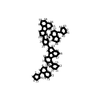 c1ccc(-c2ccc(-n3c4ccccc4c4c5c(ccc43)-c3cc(-c4ccc6c7ccc8c(c7n(-c7ccc(-c9ccccc9)c9ccccc79)c6c4)-c4cccc6cccc-8c46)cc4cccc-5c34)c3ccccc23)cc1